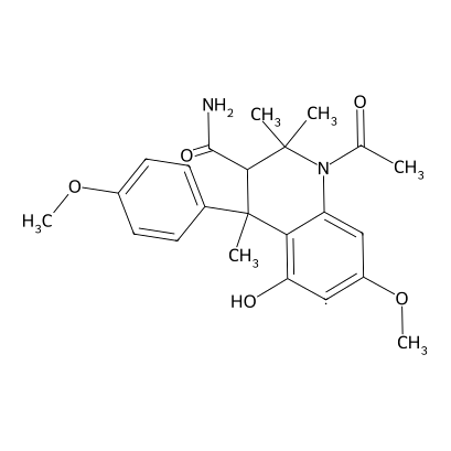 COc1[c]c(O)c2c(c1)N(C(C)=O)C(C)(C)C(C(N)=O)C2(C)c1ccc(OC)cc1